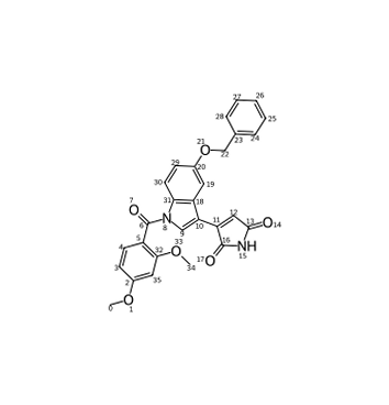 COc1ccc(C(=O)n2cc(C3=CC(=O)NC3=O)c3cc(OCc4ccccc4)ccc32)c(OC)c1